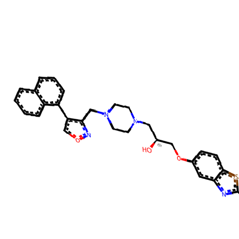 Cc1nc2cc(OC[C@@H](O)CN3CCN(Cc4nocc4-c4cccc5ccccc45)CC3)ccc2s1